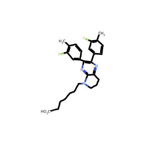 Cc1ccc(-c2nc3c(nc2-c2ccc(C)c(F)c2)N(CCCCCCC(=O)O)CCC3)cc1F